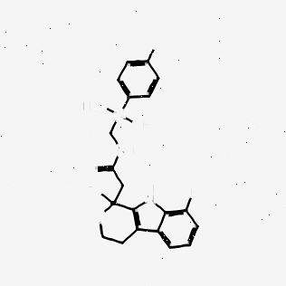 CCc1cccc2c3c([nH]c12)C(CC)(CC(=O)NC[Si](C)(C)c1ccc(F)cc1)OCC3